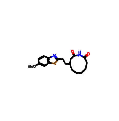 COc1ccc2nc(CCC3CCCCCC(=O)NC(=O)C3)sc2c1